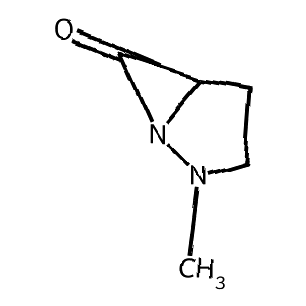 CN1CCC2C(=O)N21